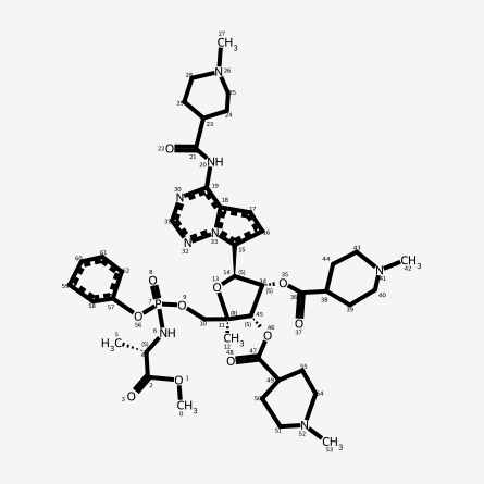 COC(=O)[C@H](C)NP(=O)(OC[C@@]1(C)O[C@@H](c2ccc3c(NC(=O)C4CCN(C)CC4)ncnn23)[C@H](OC(=O)C2CCN(C)CC2)[C@@H]1OC(=O)C1CCN(C)CC1)Oc1ccccc1